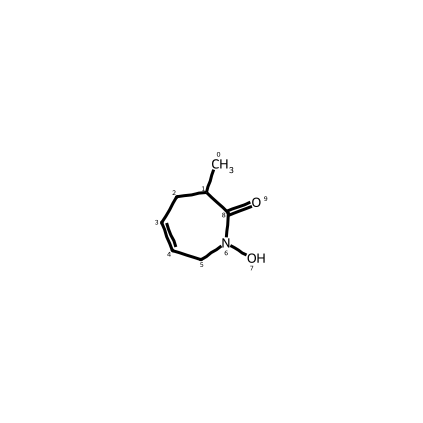 CC1CC=CCN(O)C1=O